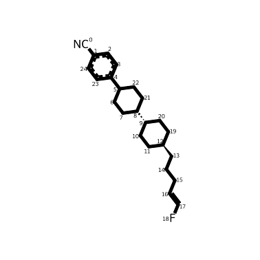 N#Cc1ccc(C2CCC([C@H]3CC[C@H](CCC/C=C/F)CC3)CC2)cc1